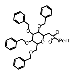 CCCC(C)S(=O)(=O)CC1OC(COCc2ccccc2)C(OCc2ccccc2)C(OCc2ccccc2)C1OCc1ccccc1